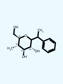 CC(c1ccccc1)C1O[C@H](CO)[C@@H](C)[C@H](O)[C@H]1O